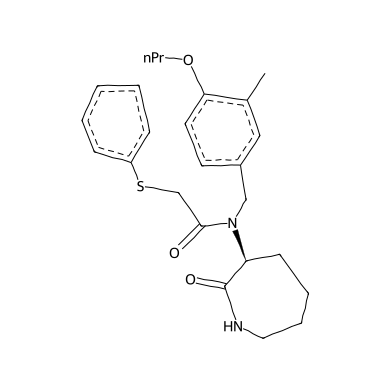 CCCOc1ccc(CN(C(=O)CSc2ccccc2)[C@H]2CCCCNC2=O)cc1C